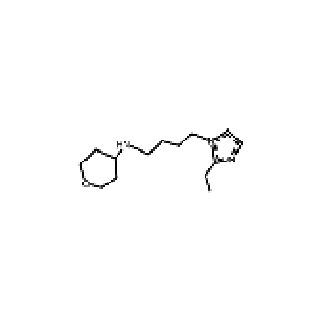 CCc1nccn1CCCCNC1CCOCC1